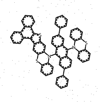 c1ccc(-c2ccc3c(N4c5ccccc5Sc5cc6c(cc54)sc4c5ccccc5c5ccccc5c64)c4cc(-c5ccccc5)ccc4c(N4c5ccccc5Sc5ccccc54)c3c2)cc1